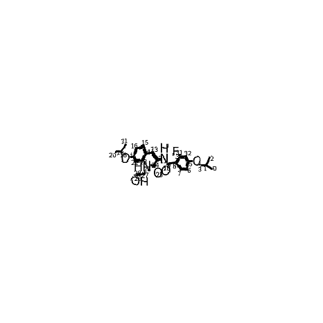 CC(C)COc1ccc(C(=O)NC(=Cc2ccc(OC(C)C)cc2)C(=O)NCCO)c(F)c1